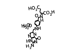 Nc1nc(=O)c2nc(CNc3ccc(C(=O)N[C@@H](CCC(=O)O)C(=O)O)cc3)cnc2[nH]1.O.O